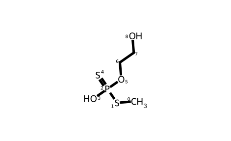 CSP(O)(=S)OCCO